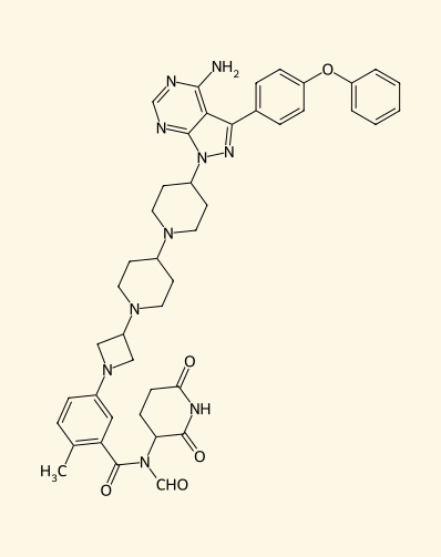 Cc1ccc(N2CC(N3CCC(N4CCC(n5nc(-c6ccc(Oc7ccccc7)cc6)c6c(N)ncnc65)CC4)CC3)C2)cc1C(=O)N(C=O)C1CCC(=O)NC1=O